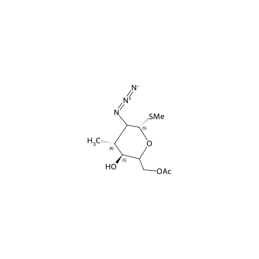 CS[C@@H]1OC(COC(C)=O)[C@@H](O)[C@H](C)C1N=[N+]=[N-]